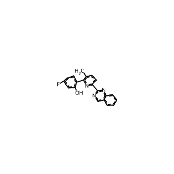 Cc1ccc(-c2ncc3ccccc3n2)nc1-c1ccc(F)cc1O